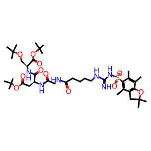 Cc1c(C)c(S(=O)(=O)NC(=N)NCCCCC(=O)NCC(=O)N[C@@H](CC(=O)OC(C)(C)C)C(=O)N[C@@H](COC(C)(C)C)C(=O)OC(C)(C)C)c(C)c2c1OC(C)(C)C2